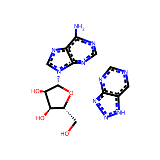 Nc1ncnc2c1ncn2[C@@H]1O[C@H](CO)[C@@H](O)[C@H]1O.c1ncc2[nH]nnc2n1